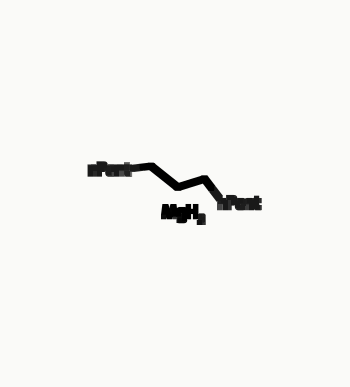 CCCCCCCCCCCCC.[MgH2]